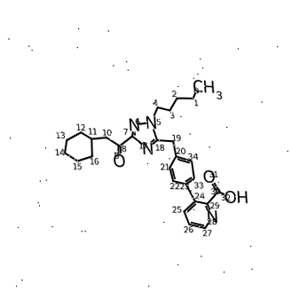 CCCCCn1nc(C(=O)CC2CCCCC2)nc1Cc1ccc(-c2cccnc2C(=O)O)cc1